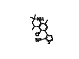 Cc1cc(-c2ccsc2C#N)c(Cl)c2c1NC(C)(C)CC2C